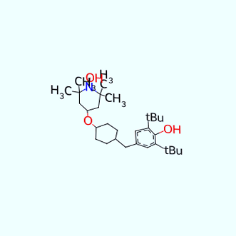 CC(C)(C)c1cc(CC2CCC(OC3CC(C)(C)N(O)C(C)(C)C3)CC2)cc(C(C)(C)C)c1O